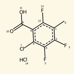 Cc1c(F)c(F)c(Cl)c(C(=O)O)c1F.Cl